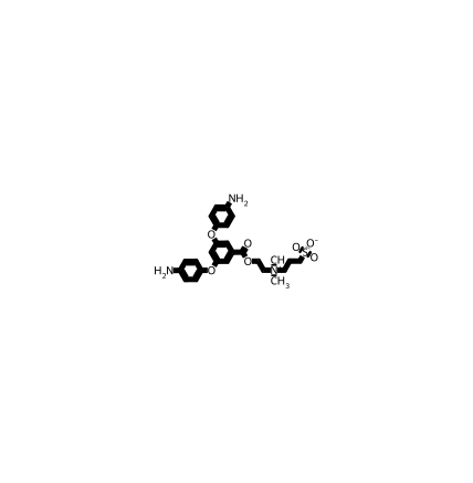 C[N+](C)(CCCS(=O)(=O)[O-])CCOC(=O)c1cc(Oc2ccc(N)cc2)cc(Oc2ccc(N)cc2)c1